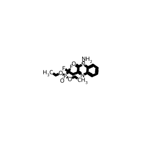 CCOP(=O)(OCC)C(F)(F)Cc1nc2ccccc2n(N)c1=O